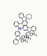 CC1(C)C2=C(C=CCC2)c2ccc(N(c3ccc4c(c3)C(C)(C)c3ccccc3-4)c3ccccc3-c3cccc4c3-c3ccccc3C43CCCCC3)cc21